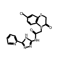 O=C(CN1C(=O)CSc2cc(Cl)ccc21)Nc1nnc(-c2ccccn2)[nH]1